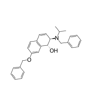 CC(C)N(Cc1ccccc1)[C@@H]1C=Cc2ccc(OCc3ccccc3)cc2[C@H]1O